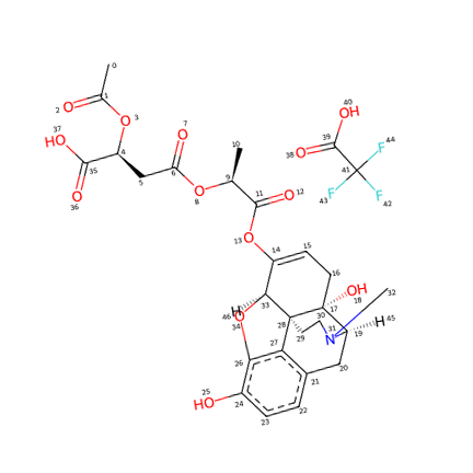 CC(=O)O[C@@H](CC(=O)O[C@@H](C)C(=O)OC1=CC[C@@]2(O)[C@H]3Cc4ccc(O)c5c4[C@@]2(CCN3C)[C@H]1O5)C(=O)O.O=C(O)C(F)(F)F